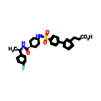 C[C@@H](NC(=O)[C@H]1CC[C@H](NS(=O)(=O)c2ccc(-c3cccc(CCC(=O)O)c3)cc2)CC1)c1ccc(F)cc1